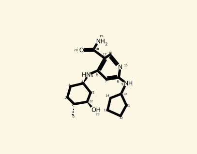 C[C@@H]1CC[C@@H](Nc2cc(NC3CCCC3)ncc2C(N)=O)C[C@H]1O